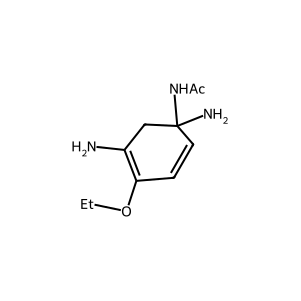 CCOC1=C(N)CC(N)(NC(C)=O)C=C1